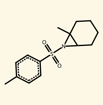 Cc1ccc(S(=O)(=O)N2C3CCCCC32C)cc1